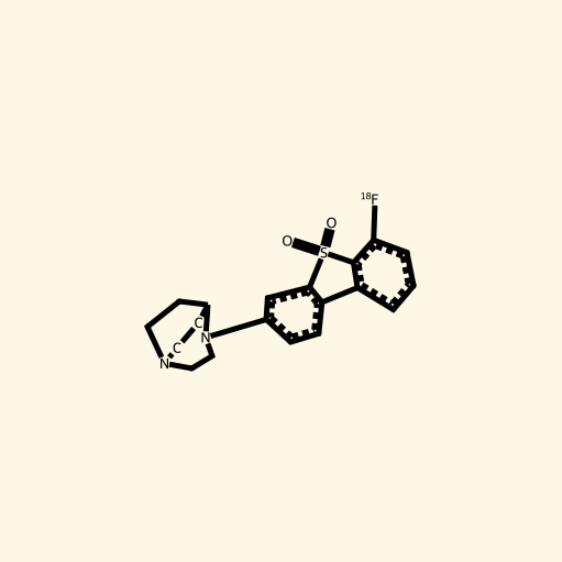 O=S1(=O)c2cc(N3CCN4CCC3CC4)ccc2-c2cccc([18F])c21